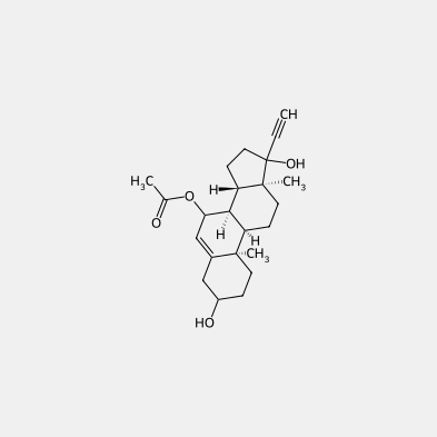 C#CC1(O)CC[C@H]2[C@@H]3C(OC(C)=O)C=C4CC(O)CC[C@]4(C)[C@@H]3CC[C@@]21C